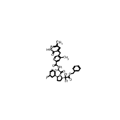 CCC(CC)(C(=O)OCc1ccccc1)[C@H]1CC[C@@H](C2=CC=CC(F)C2)N1C(=O)[C@@H](C)NC(=O)c1cc(C)c(Cc2cc(C)n[nH]c2=O)cn1